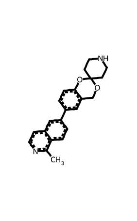 Cc1nccc2cc(-c3ccc4c(c3)COC3(CCNCC3)O4)ccc12